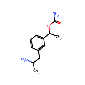 CC(N)Cc1cccc(C(C)OC(N)=O)c1